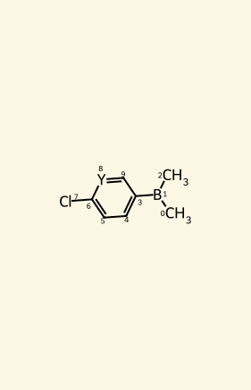 CB(C)C1=CC=[C](Cl)[Y]=[CH]1